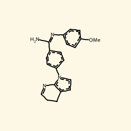 COc1ccc(/N=C(/N)c2ccc(-n3ccc4c3N=CCC4)cc2)cc1